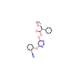 CO/C=C(\C(=O)OOc1cc(Oc2ccccc2C#N)ncn1)c1ccccc1